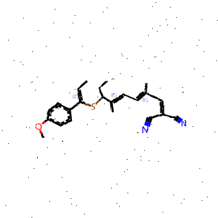 C/C=C(\SC(CC)/C(C)=C/C=C(\C)C=C(C#N)C#N)c1ccc(OC)cc1